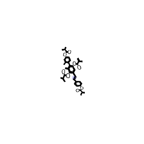 C=C(C)C(=O)Oc1ccc(/C=C/c2cc(OC(=O)C(=C)C)c(-c3ccc(OC(=O)C(=C)C)cc3C)c(C)c2OC(=O)C(=C)C)cc1